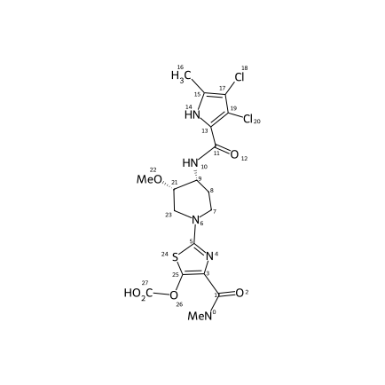 CNC(=O)c1nc(N2CC[C@@H](NC(=O)c3[nH]c(C)c(Cl)c3Cl)[C@@H](OC)C2)sc1OC(=O)O